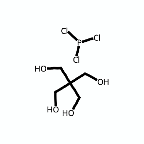 ClP(Cl)Cl.OCC(CO)(CO)CO